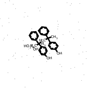 CC(C)(c1ccccc1)c1ccc(O)cc1.CC(C)(c1ccccc1)c1ccc(O)cc1.O=C(O)O